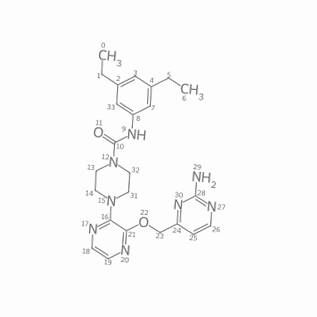 CCc1cc(CC)cc(NC(=O)N2CCN(c3nccnc3OCc3ccnc(N)n3)CC2)c1